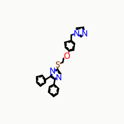 c1ccc(-c2ncc(SCCOc3ccc(Cn4ccnc4)cc3)nc2-c2ccccc2)cc1